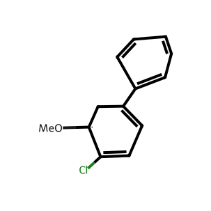 CO[C]1CC(c2ccccc2)=CC=C1Cl